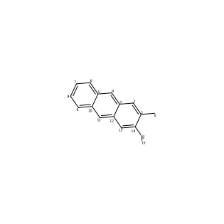 Cc1cc2cc3ccccc3cc2cc1F